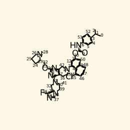 CC(C)c1ccc(NC(=O)Oc2cc(N3CCc4c(nc(OC[C@@H]5CCCN5C)nc4N4Cc5c(F)ncn5C[C@H]4C)C3)c3c(Cl)cccc3c2)cc1